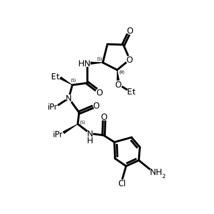 CCO[C@@H]1OC(=O)C[C@@H]1NC(=O)[C@H](CC)N(C(=O)[C@@H](NC(=O)c1ccc(N)c(Cl)c1)C(C)C)C(C)C